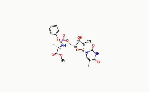 Cc1cn([C@@H]2O[C@H](CO[P@@](=O)(N[C@@H](C)C(=O)OC(C)C)Oc3ccccc3)[C@@H](O)[C@H]2C#N)c(=O)[nH]c1=O